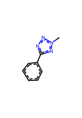 Cn1nnc(-c2cc[c]cc2)n1